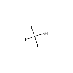 SS(I)(I)I